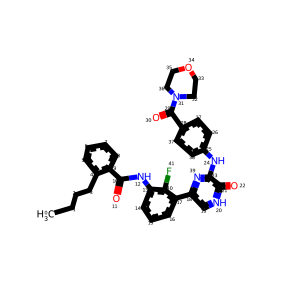 CCCCc1ccccc1C(=O)Nc1cccc(-c2c[nH]c(=O)c(Nc3ccc(C(=O)N4CCOCC4)cc3)n2)c1F